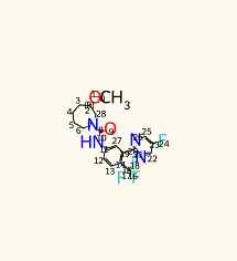 CO[C@@H]1CCCCN(C(=O)Nc2ccc(C(F)(F)F)c(-c3ncc(F)cn3)c2)C1